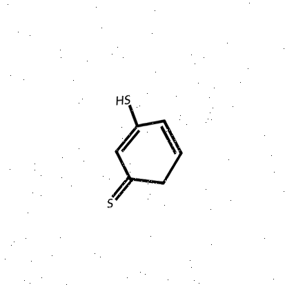 S=C1C=C(S)C=CC1